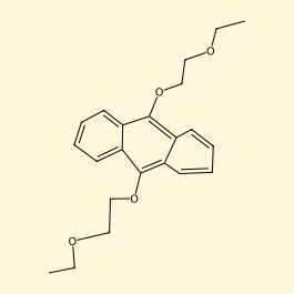 CCOCCOc1c2ccccc2c(OCCOCC)c2ccccc12